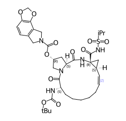 CC(C)S(=O)(=O)NC(=O)[C@@]12C[C@H]1/C=C\CCCCC[C@H](NC(=O)OC(C)(C)C)C(=O)N1C[C@H](OC(=O)N3Cc4ccc5c(c4C3)OCO5)C[C@H]1C(=O)N2